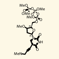 CNCC#Cc1cn([C@H]2CC(OC)[C@@H](COP(=O)(OC)OP(=O)(OC)OP(=O)(OC)OC)O2)c(=O)[nH]c1=O